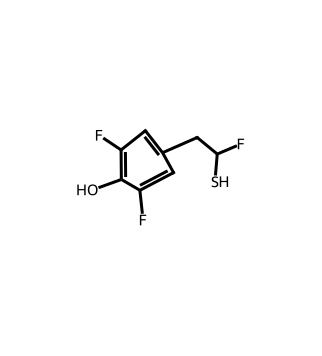 Oc1c(F)cc(CC(F)S)cc1F